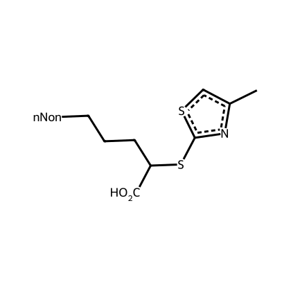 CCCCCCCCCCCCC(Sc1nc(C)cs1)C(=O)O